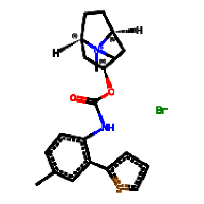 Cc1ccc(NC(=O)O[C@H]2C[C@H]3CC[C@@H](C2)[N+]3(C)C)c(-c2cccs2)c1.[Br-]